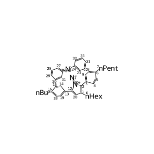 CCCCCCC1=C(c2ccc(CCCCC)cc2)[N+](=[N-])C(c2ccc(CCCC)cc2)=C1.c1cc[c]([Ni][c]2ccccc2)cc1